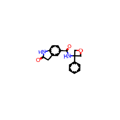 O=C1Cc2cc(C(=O)NC3(c4ccccc4)COC3)ccc2N1